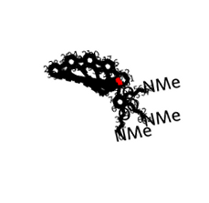 CNCCCOc1ccc(C2N(C)CC34C5=c6ccc7c8ccc9c%10ccc%11c%12ccc%13c%14c(c%15c%16c3c6c7c3c8c9c6c%10c%11c(c%14%12)c%15c6c%163)C24C=%13C=C5)c(OCCCNC)c1OCCCNC